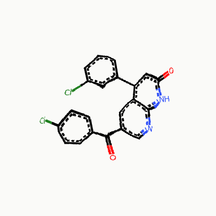 O=C(c1ccc(Cl)cc1)c1cnc2[nH]c(=O)cc(-c3cccc(Cl)c3)c2c1